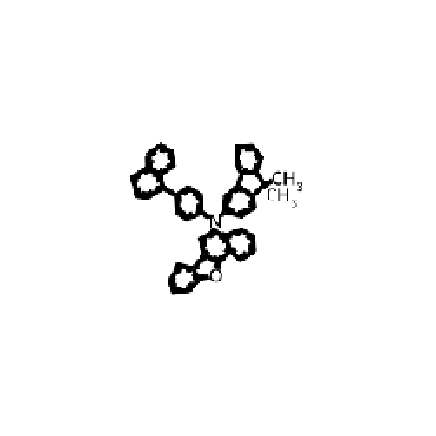 CC1(C)c2ccccc2-c2cc(N(c3ccc(-c4cccc5ccccc45)cc3)c3cc4c5ccccc5oc4c4ccccc34)ccc21